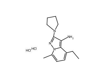 CCc1ccc(C)n2nc(N3CCCC3)c(N)c12.Cl.Cl